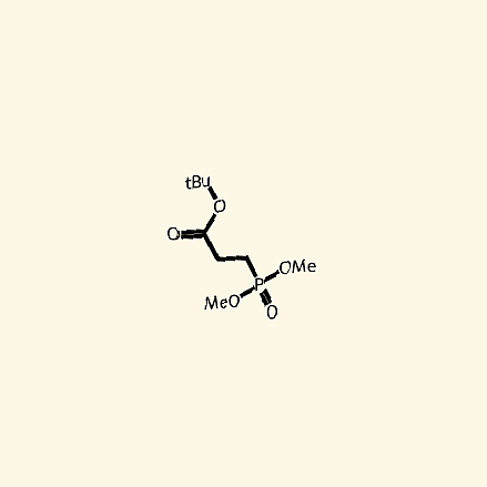 COP(=O)(CCC(=O)OC(C)(C)C)OC